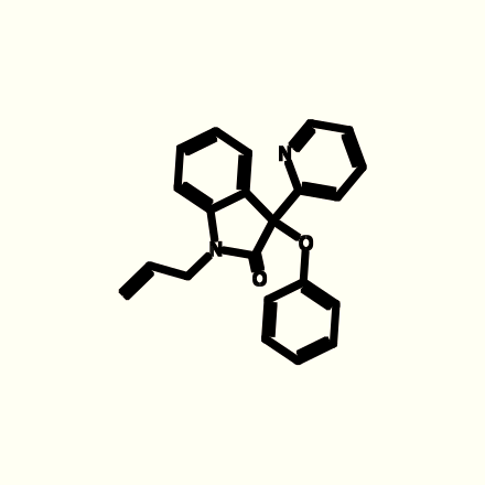 C=CCN1C(=O)C(Oc2ccccc2)(c2ccccn2)c2ccccc21